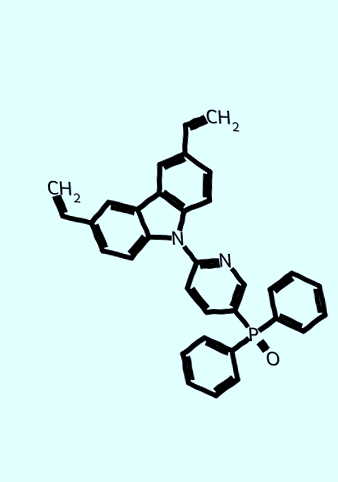 C=Cc1ccc2c(c1)c1cc(C=C)ccc1n2-c1ccc(P(=O)(c2ccccc2)c2ccccc2)cn1